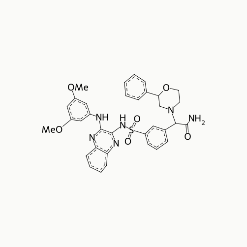 COc1cc(Nc2nc3ccccc3nc2NS(=O)(=O)c2cccc(C(C(N)=O)N3CCOC(c4ccccc4)C3)c2)cc(OC)c1